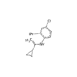 C=C(Nc1ccc(Cl)cc1C(C)C)C1CC1